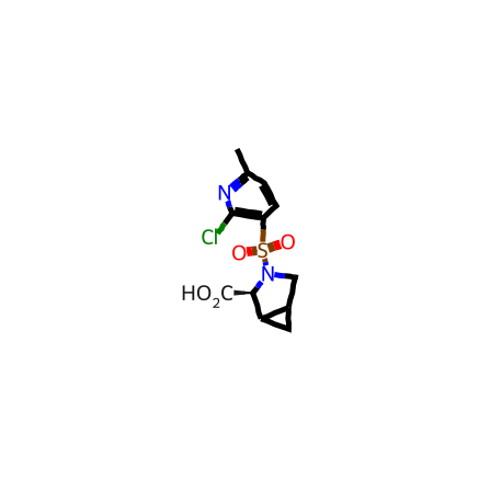 Cc1ccc(S(=O)(=O)N2CC3CC3[C@H]2C(=O)O)c(Cl)n1